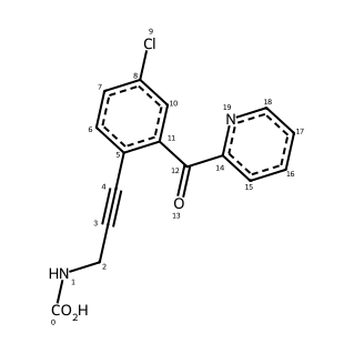 O=C(O)NCC#Cc1ccc(Cl)cc1C(=O)c1ccccn1